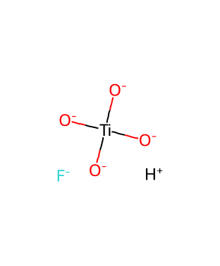 [F-].[H+].[O-][Ti]([O-])([O-])[O-]